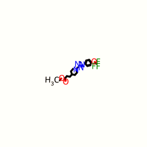 CCOC(=O)CCC1CCN(c2ncn(-c3ccc(OC(F)(F)F)cc3)n2)CC1